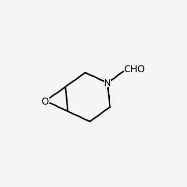 O=CN1CCC2OC2C1